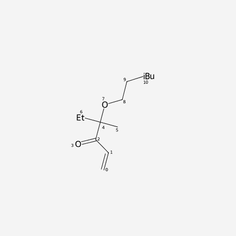 C=CC(=O)C(C)(CC)OCCC(C)CC